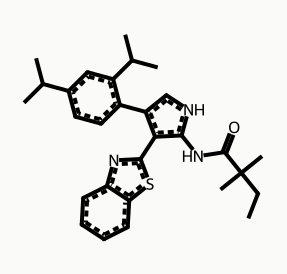 CCC(C)(C)C(=O)Nc1[nH]cc(-c2ccc(C(C)C)cc2C(C)C)c1-c1nc2ccccc2s1